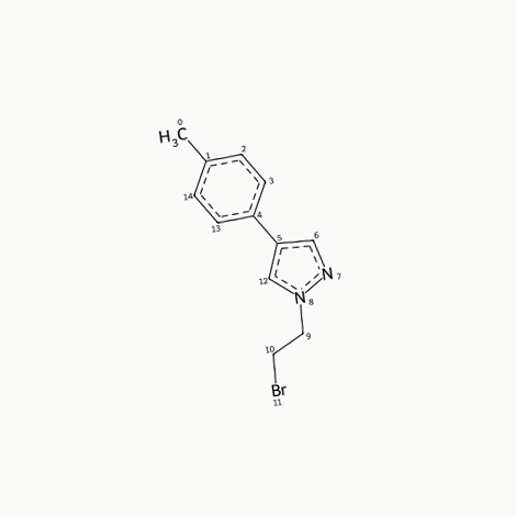 Cc1ccc(-c2cnn(CCBr)c2)cc1